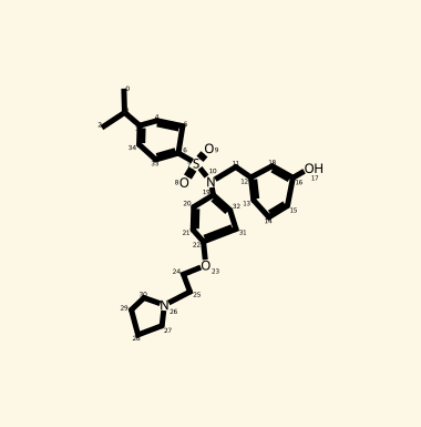 CC(C)c1ccc(S(=O)(=O)N(Cc2cccc(O)c2)c2ccc(OCCN3CCCC3)cc2)cc1